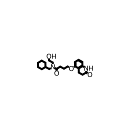 O=C1CCc2c(cccc2OCCCC(=O)N(CCO)CC2CCCCC2)N1